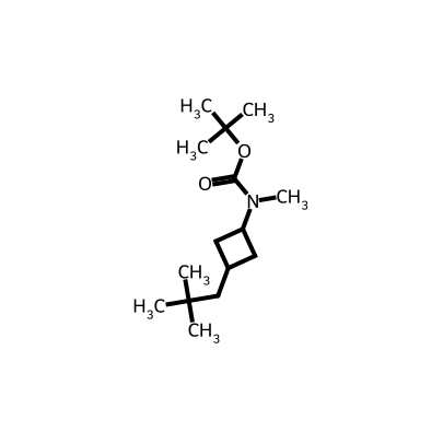 CN(C(=O)OC(C)(C)C)C1CC(CC(C)(C)C)C1